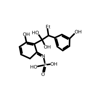 CCC(c1cccc(O)c1)C(O)(O)C1=C(O)C=CCC1=NP(=O)(O)O